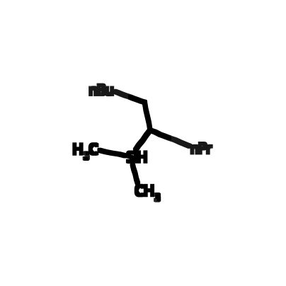 CCCCCC(CCC)[SiH](C)C